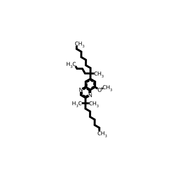 CCCCCCCC(C)(C)c1cnc2cc(C(C)(CCCC)CCCCCCC)cc(OC)c2n1